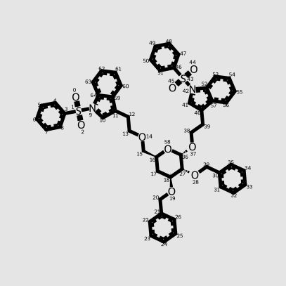 O=S(=O)(c1ccccc1)n1cc(CCOC[C@@H]2C[C@H](OCc3ccccc3)[C@@H](OCc3ccccc3)[C@@H](OCCc3cn(S(=O)(=O)c4ccccc4)c4ccccc34)O2)c2ccccc21